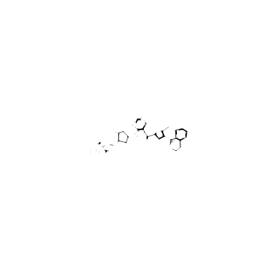 Cc1oc(C(=O)c2cncnc2N[C@@H]2C[C@H](COS(N)(=O)=O)[C@@H](O)C2)cc1[C@@H]1OCCc2ccccc21